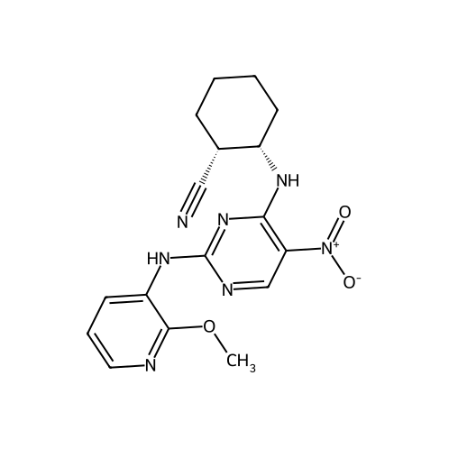 COc1ncccc1Nc1ncc([N+](=O)[O-])c(N[C@H]2CCCC[C@H]2C#N)n1